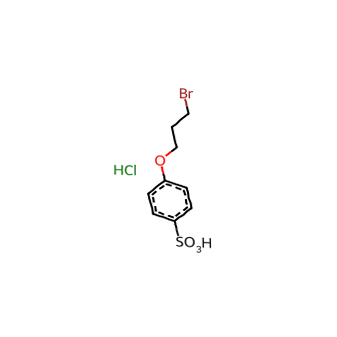 Cl.O=S(=O)(O)c1ccc(OCCCBr)cc1